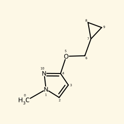 Cn1ccc(OCC2CC2)n1